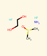 C[S+](C)[O-].F.F.N.OCCO